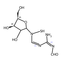 NC(/N=C\N(S)C1O[C@H](CO)[C@H](O)C1O)=N/C=O